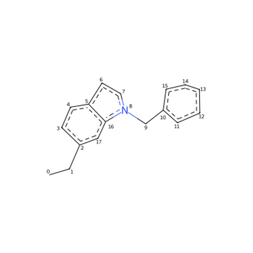 CCc1ccc2ccn(Cc3ccccc3)c2c1